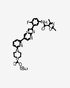 Cc1nc(C)c(C(=O)Nc2ccc(F)c(-c3cn4cc(-c5cccc(N6CCN(C(=O)OC(C)(C)C)CC6)n5)cnc4n3)c2)o1